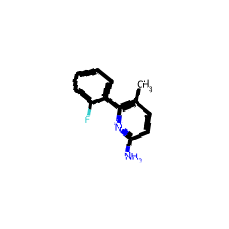 Cc1ccc(N)nc1-c1ccccc1F